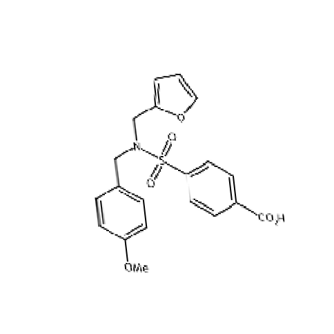 COc1ccc(CN(Cc2ccco2)S(=O)(=O)c2ccc(C(=O)O)cc2)cc1